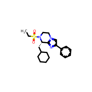 CCS(=O)(=O)N1CCn2cc(-c3ccccc3)nc2[C@@H]1CC1CCCCC1